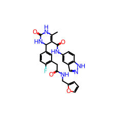 CC1=C(C(=O)Nc2ccc3[nH]ncc3c2)C(c2ccc(F)c(CC(=O)NCc3ccco3)c2)NC(=O)N1